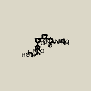 COc1nc(-c2cccc(-c3cccc(-c4cc5c(=O)n(C)c(CN(C)C[C@H](C)O)nn5c4)c3Cl)c2Cl)ccc1CNC[C@H]1CCC(=O)N1